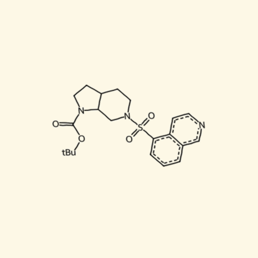 CC(C)(C)OC(=O)N1CCC2CCN(S(=O)(=O)c3cccc4cnccc34)CC21